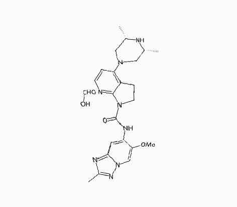 COc1cn2nc(C)nc2cc1NC(=O)N1CCc2c(N3C[C@@H](C)N[C@@H](C)C3)ccnc21.O=CO